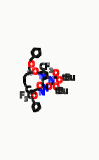 CC(C)(C)OC(=O)N(C(=O)OC(C)(C)C)c1cc(C(F)(F)F)c2nc1-c1nnc(o1)[C@@](OCc1ccccc1)(C(F)(F)F)CCC=CC[C@@H](COCc1ccccc1)O2